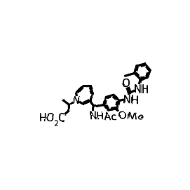 COc1cc(C(NC(C)=O)C2=CN(C(C)CC(=O)O)C=CC=C2)ccc1NC(=O)Nc1ccccc1C